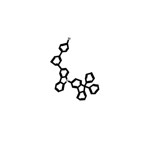 Brc1ccc(-c2cccc(-c3ccc4c(c3)c3ccccc3n4-c3ccc4c(c3)-c3ccccc3C4(c3ccccc3)c3ccccc3)c2)cc1